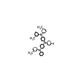 CC1=CCCC(N(c2ccccc2)c2ccc(N(C3=CC=C(I)CC3)c3ccc(N(C4=CC=CC(C)C4)c4cccc(C)c4)cc3)cc2)=C1